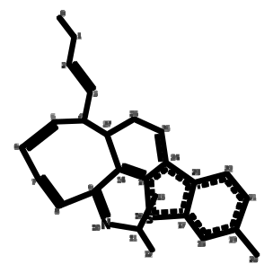 CCC=CC1\C=C/C=C\C(=N\C(C)C)C2=c3sc4cc(C)ccc4c3=CCC21